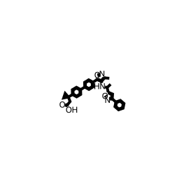 Cc1noc(-c2ccc(-c3ccc(C4(CC(=O)O)CC4)cc3)cc2)c1NC(C)c1cc(-c2ccccc2)no1